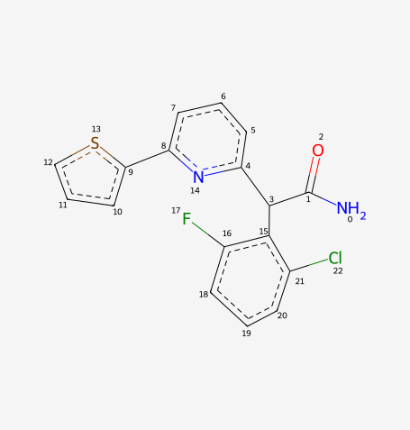 NC(=O)C(c1cccc(-c2cccs2)n1)c1c(F)cccc1Cl